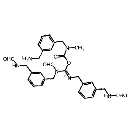 CN(Cc1cccc(CN)c1)C(=O)O/C(=N\Cc1cccc(CNC=O)c1)N(C=O)Cc1cccc(CNC=O)c1